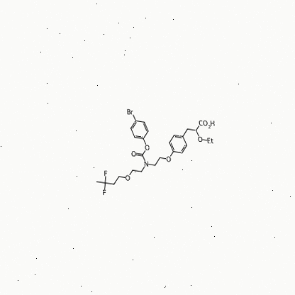 CCOC(Cc1ccc(OCCN(CCOCCC(C)(F)F)C(=O)Oc2ccc(Br)cc2)cc1)C(=O)O